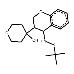 CC(C)(C)SNC1c2ccccc2OCC1C1(O)CCOCC1